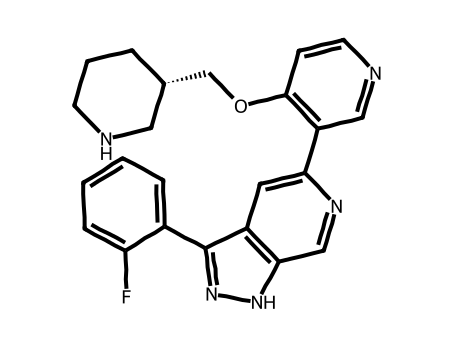 Fc1ccccc1-c1n[nH]c2cnc(-c3cnccc3OC[C@H]3CCCNC3)cc12